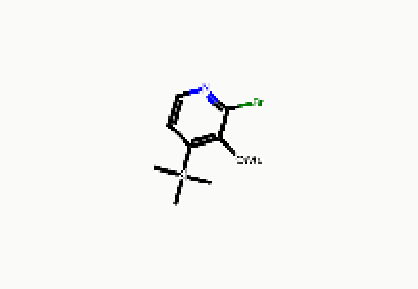 COc1c([Si](C)(C)C)ccnc1Br